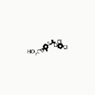 C=C(COc1ccc(Cl)cc1Cl)CSc1ccc(OCC(=O)O)c(C)c1